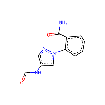 NC(=O)c1ccccc1-n1cc(NC=O)cn1